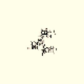 CN(C)CC1(COc2nc(N3CC4(CCc5sc(N)c(C#N)c54)C3)nc(N3CCC[C@@](C)(O)C3)n2)CC1(F)F